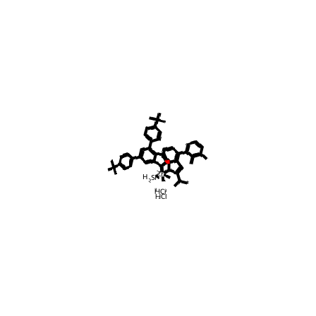 CC1=Cc2c(-c3ccc(C(C)(C)C)cc3)cc(-c3ccc(C(C)(C)C)cc3)cc2[CH]1[Zr]([CH3])([CH3])(=[SiH2])[CH]1C(C(C)C)=Cc2c(-c3cccc(C)c3C)cccc21.Cl.Cl